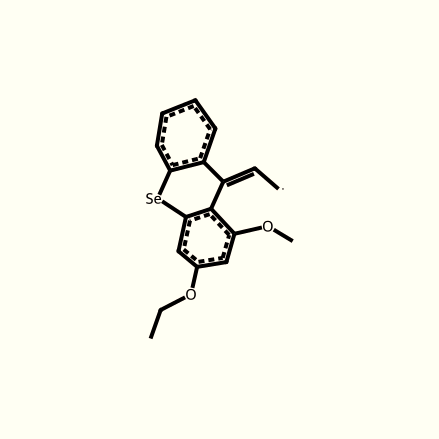 [CH2]C=C1c2ccccc2[Se]c2cc(OCC)cc(OC)c21